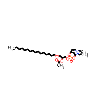 CCCCCCCCCCCCCCCCOCC(COP1(=O)OC2CC[N+](CC)(CC)C(C2)O1)OC(C)=O